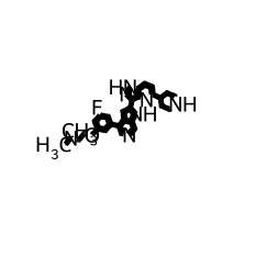 CN(C)CCOc1cc(F)cc(-c2cncc3[nH]c(-c4n[nH]c5ccc(C6CCNCC6)nc45)cc23)c1